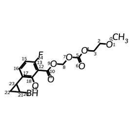 COCCOC(=O)OCOC(=O)c1c(F)ccc2c1OBC1CC21